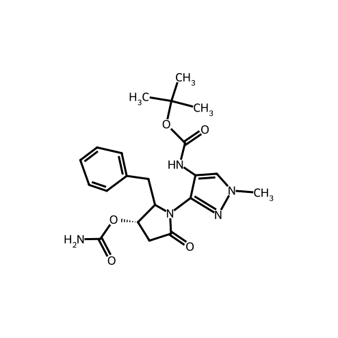 Cn1cc(NC(=O)OC(C)(C)C)c(N2C(=O)C[C@H](OC(N)=O)C2Cc2ccccc2)n1